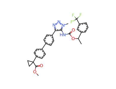 COC(=O)C1(c2ccc(-c3ccc(-c4nnn(C)c4NC(=O)OC(C)c4cccc(C(F)(F)F)c4)cc3)cc2)CC1